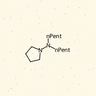 CCCCCN(CCCCC)N1CCCC1